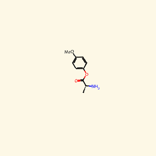 COc1ccc(OC(=O)[C@H](C)N)cc1